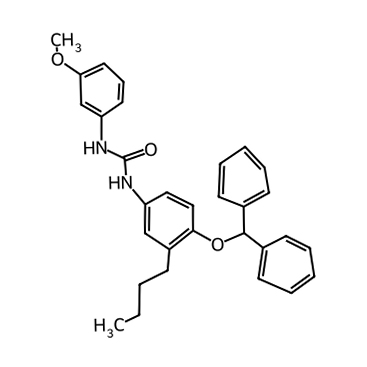 CCCCc1cc(NC(=O)Nc2cccc(OC)c2)ccc1OC(c1ccccc1)c1ccccc1